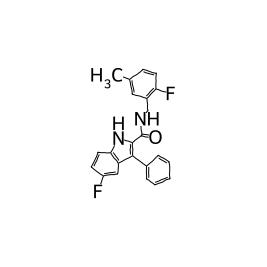 Cc1ccc(F)c(CNC(=O)c2[nH]c3ccc(F)cc3c2-c2ccccc2)c1